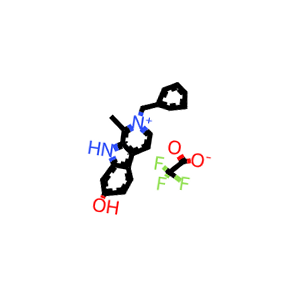 Cc1c2[nH]c3cc(O)ccc3c2cc[n+]1Cc1ccccc1.O=C([O-])C(F)(F)F